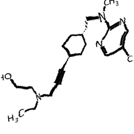 CCN(CC#C[C@H]1CC[C@H](CN(C)c2ncc(Cl)cn2)CC1)CCO